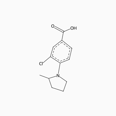 CC1CCCN1c1ccc(C(=O)O)cc1Cl